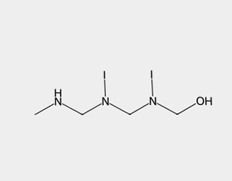 CNCN(I)CN(I)CO